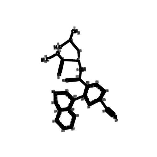 COC(=O)[C@H](CC(C)C)NC(=O)c1ccc(C#N)cc1-c1cccc2ccccc12